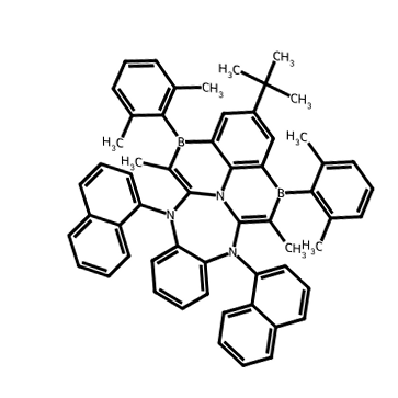 CC1=c2n3c(n(-c4cccc5ccccc45)c4ccccc4n2-c2cccc4ccccc24)=C(C)B(c2c(C)cccc2C)c2cc(C(C)(C)C)cc(c2-3)B1c1c(C)cccc1C